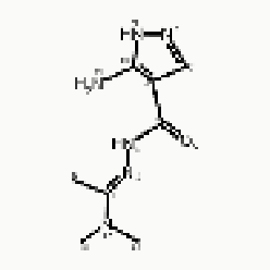 C/C(=N\NC(=O)c1cn[nH]c1N)N(C)C